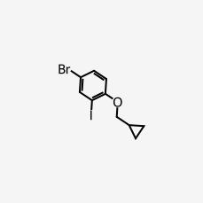 Brc1ccc(OCC2CC2)c(I)c1